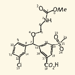 COC(=O)NCCOC(c1cccc(Cl)c1)c1cc(C(=O)O)cc(S(C)(=O)=O)c1